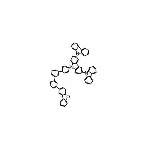 c1cc(-c2ccc(-n3c4ccc(-n5c6ccccc6c6ccccc65)cc4c4cc(-n5c6ccccc6c6ccccc65)ccc43)cc2)cc(-c2cccc(-c3ccc4oc5ccccc5c4c3)c2)c1